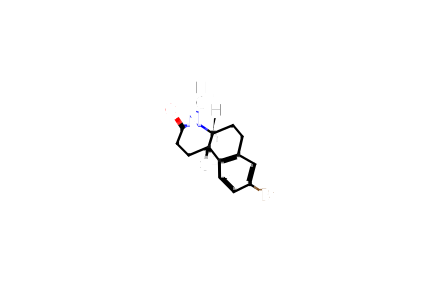 CN1C(=O)CCC2(C)c3ccc(Br)cc3CC[C@@H]12